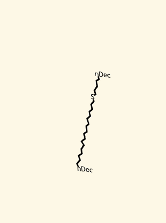 CCCCCCCCCCCCCCCCCCCCCCCCCCCCSCCCCCCCCCCCCCCC